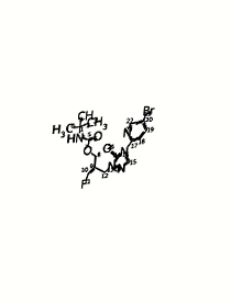 CC(C)(C)NC(=O)OC/C(=C/F)Cn1ncn(-c2ccc(Br)cn2)c1=O